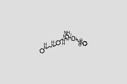 Nc1cc(N2CCN(CCS(=O)(=O)c3ccccc3)CC2)nc(NCC2CCC(CNCCCNC3CCCCC3)CC2)n1